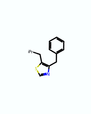 CC(C)Cc1s[c]nc1Cc1ccccc1